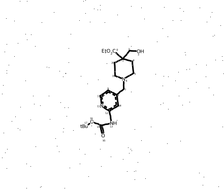 CCOC(=O)C1(CO)CCN(Cc2ccnc(NC(=O)OC(C)(C)C)c2)CC1